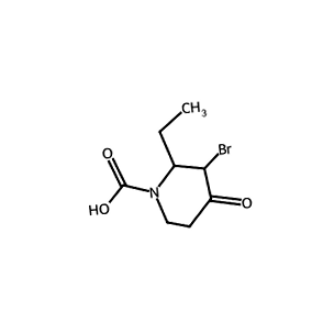 CCC1C(Br)C(=O)CCN1C(=O)O